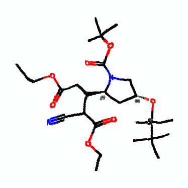 CCOC(=O)CC(C(C#N)C(=O)OCC)[C@@H]1C[C@@H](O[Si](C)(C)C(C)(C)C)CN1C(=O)OC(C)(C)C